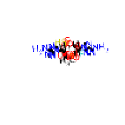 CP1(=O)OC[C@H]2O[C@@H](n3cnc4c(N)ncnc43)[C@H](O[P@@](=O)(S)OC[C@H]3O[C@@H](n4cnc5c(N)ncnc54)[C@H](F)[C@@H]3O1)[C@@H]2O